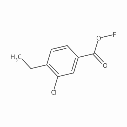 CCc1ccc(C(=O)OF)cc1Cl